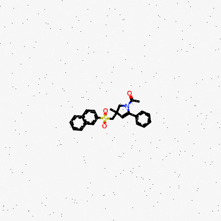 CC(=O)N1CC(C)(CS(=O)(=O)c2ccc3ccccc3c2)C=C1c1ccccc1